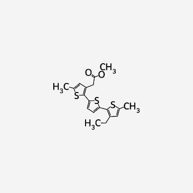 CCc1cc(C)sc1-c1ccc(-c2sc(C)cc2CC(=O)OC)s1